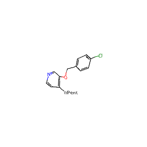 CCCCCc1ccncc1OCc1ccc(Cl)cc1